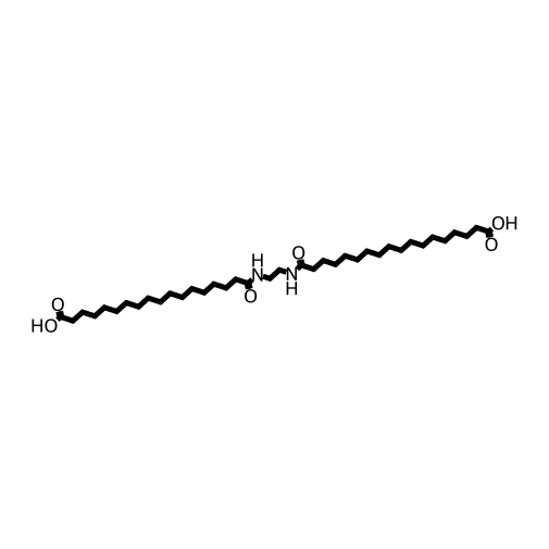 O=C(O)CCCCCCCCCCCCCCCCC(=O)NCCNC(=O)CCCCCCCCCCCCCCCCC(=O)O